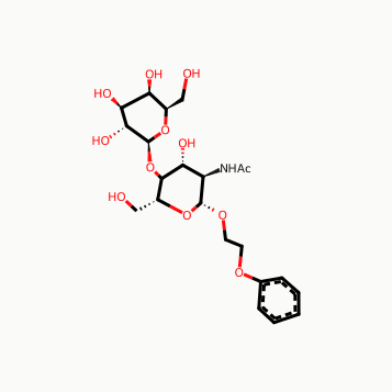 CC(=O)N[C@H]1[C@H](OCCOc2ccccc2)O[C@H](CO)C(O[C@@H]2O[C@H](CO)[C@H](O)[C@H](O)[C@H]2O)[C@@H]1O